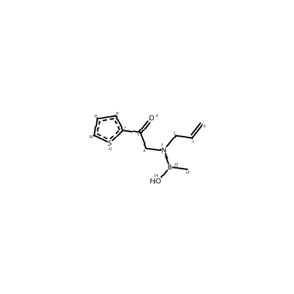 C=CCN(CC(=O)c1cccs1)B(C)O